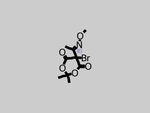 CO/N=C(\C)C1(Br)C(=O)OC(C)(C)OC1=O